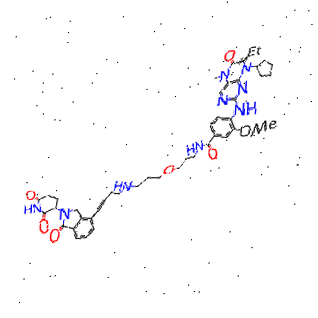 CC[C@@H]1C(=O)N(C)c2cnc(Nc3ccc(C(=O)NCCCOCCCNCCC#Cc4cccc5c4CN(C4CCC(=O)NC4=O)C5=O)cc3OC)nc2N1C1CCCC1